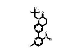 CC[S+]([O-])c1ccc(Cl)nc1-c1cc2c(cn1)N(CC(F)(F)C(F)(F)F)C(=O)CC2